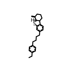 C=C1CCCC2c3ccc(CCCCc4ccc(CC)cc4)cc3S[C@@H]12